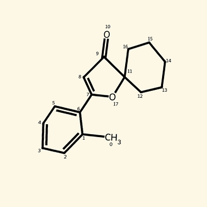 Cc1ccccc1C1=CC(=O)C2(CCCCC2)O1